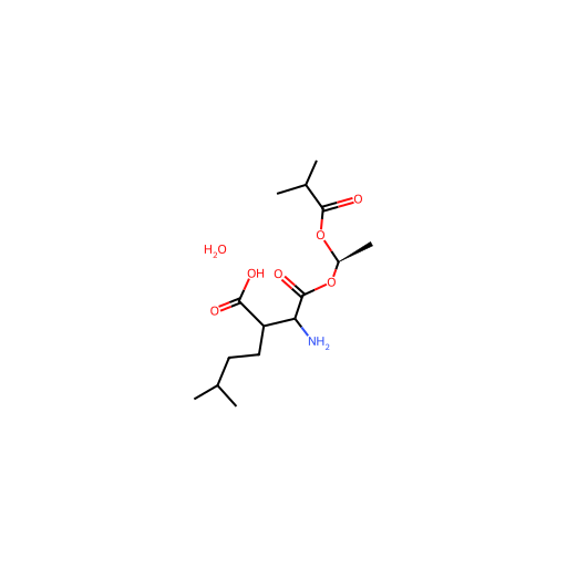 CC(C)CCC(C(=O)O)C(N)C(=O)O[C@H](C)OC(=O)C(C)C.O